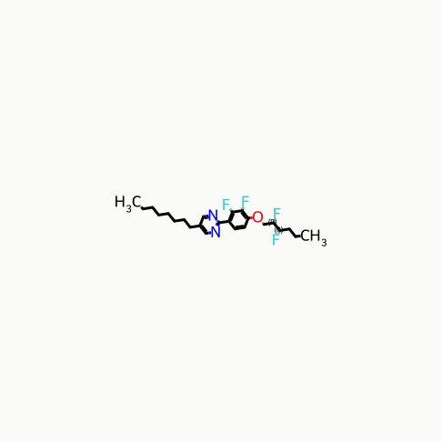 CCCCCCCCc1cnc(-c2ccc(OC[C@@H](F)[C@H](F)CCC)c(F)c2F)nc1